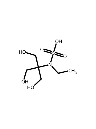 CCN(C(CO)(CO)CO)S(=O)(=O)O